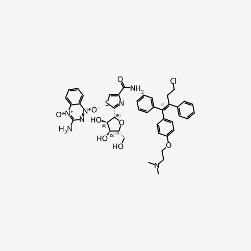 CN(C)CCOc1ccc(/C(=C(/CCCl)c2ccccc2)c2ccccc2)cc1.NC(=O)c1csc([C@@H]2O[C@H](CO)[C@@H](O)[C@H]2O)n1.Nc1n[n+]([O-])c2ccccc2[n+]1[O-]